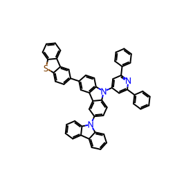 c1ccc(-c2cc(-n3c4ccc(-c5ccc6sc7ccccc7c6c5)cc4c4cc(-n5c6ccccc6c6ccccc65)ccc43)cc(-c3ccccc3)n2)cc1